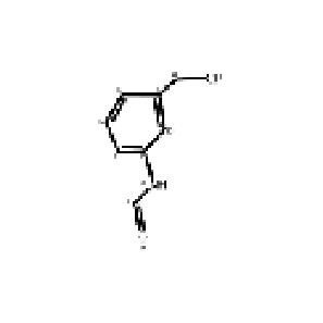 O=CNc1cccc(CCl)c1